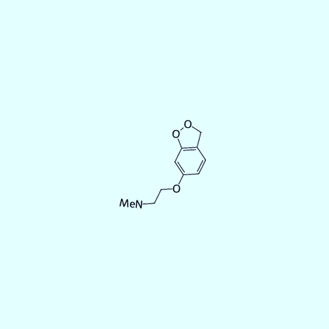 CNCCOc1ccc2c(c1)OOC2